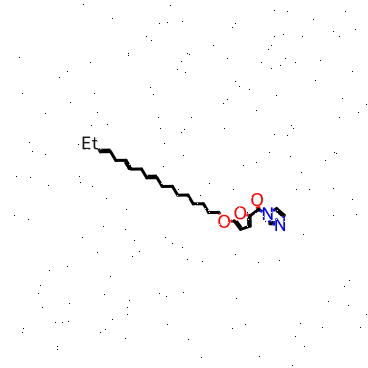 CCC=CCC=CCC=CCCCCCCCCOc1ccc(C(=O)n2ccnc2)o1